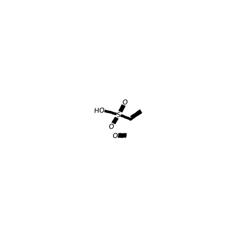 C=CS(=O)(=O)O.C=O